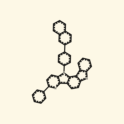 c1ccc(-c2ccc3c(n2)c2ccc4sc5ccccc5c4c2n3-c2ccc(-c3ccc4ccccc4c3)cc2)cc1